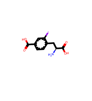 N[C@@H](Cc1ccc(C(=O)O)cc1I)C(=O)O